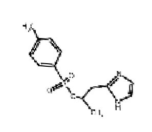 Cc1ccc(S(=O)(=O)OC(C)Cc2ncc[nH]2)cc1